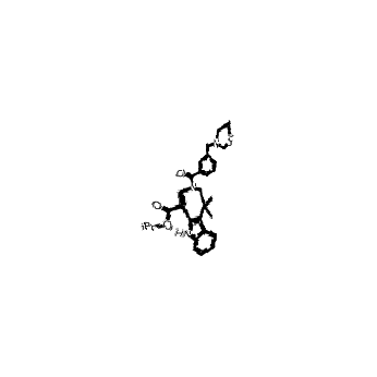 CC(C)OC(=O)C1=CN(C(=O)c2cccc(CN3CCSC3)c2)CC(C)(C)c2c1[nH]c1ccccc21